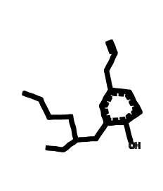 C=CCc1ccc(O)c(CC(CC)CCCC)c1